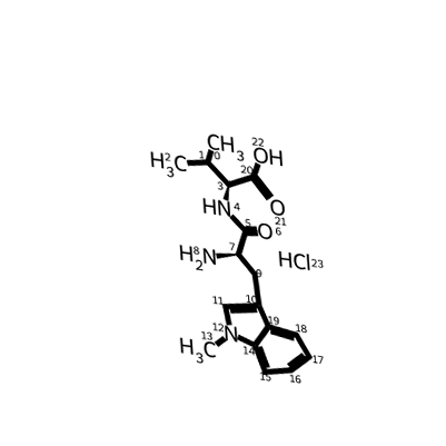 CC(C)[C@H](NC(=O)[C@H](N)Cc1cn(C)c2ccccc12)C(=O)O.Cl